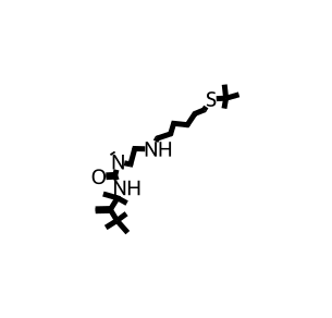 C=C(C(C)(C)C)C(C)(C)NC(=O)N(C)CCNCCCCCCSC(C)(C)C